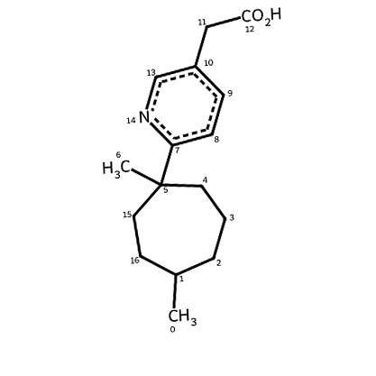 CC1CCCC(C)(c2ccc(CC(=O)O)cn2)CC1